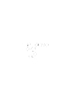 O=COc1cc(OC(=O)C2CCCCC2)cc(OC(=O)C2CCCCC2)c1